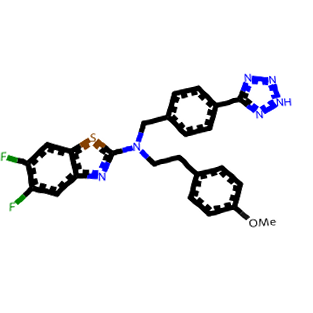 COc1ccc(CCN(Cc2ccc(-c3nn[nH]n3)cc2)c2nc3cc(F)c(F)cc3s2)cc1